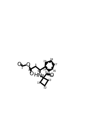 O=COC(=O)CC(NC1(C=O)CCC1)c1ccccc1